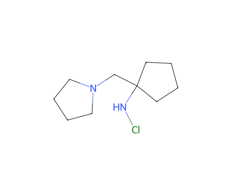 ClNC1(CN2CCCC2)CCCC1